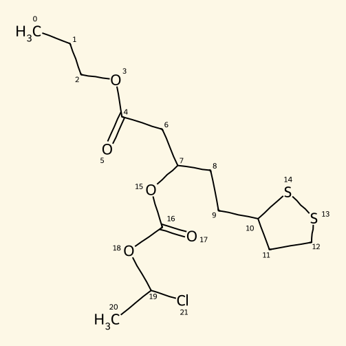 CCCOC(=O)CC(CCC1CCSS1)OC(=O)OC(C)Cl